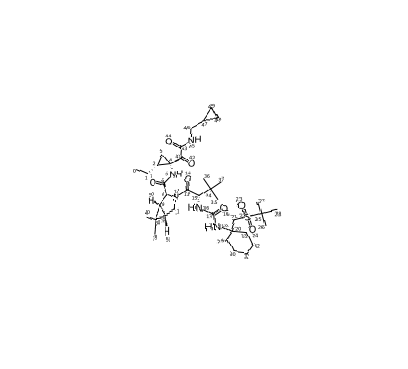 CC[C@@H]1C[C@@]1(NC(=O)[C@@H]1[C@@H]2[C@H](CN1C(=O)[C@@H](NC(=O)NC1(CS(=O)(=O)C(C)(C)C)CCCCC1)C(C)(C)C)C2(C)C)C(=O)C(=O)NCC1CC1